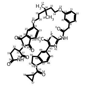 Cc1sc(NC(=O)Cc2cccc(OCCC(C)(C)CCOc3ccc4c(c3)C(=O)N(C3CCC(=O)NC3=O)C4=O)c2)nc1-c1ccc2c(c1)CCN2C(=O)C1CC1